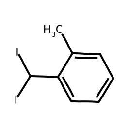 Cc1ccccc1C(I)I